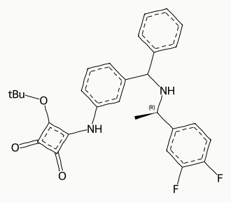 C[C@@H](NC(c1ccccc1)c1cccc(Nc2c(OC(C)(C)C)c(=O)c2=O)c1)c1ccc(F)c(F)c1